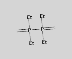 C=P(CC)(CC)P(=C)(CC)CC